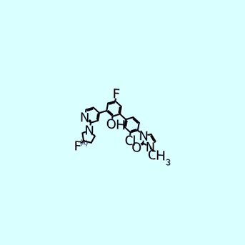 Cn1ccn(-c2ccc(-c3cc(F)cc(-c4ccnc(N5CC[C@@H](F)C5)c4)c3O)cc2Cl)c1=O